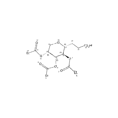 CCC(=O)O[C@H]1[C@H](OC(=O)CC)[C@H](OC(=O)CC)CO[C@@H]1CCC(=O)O